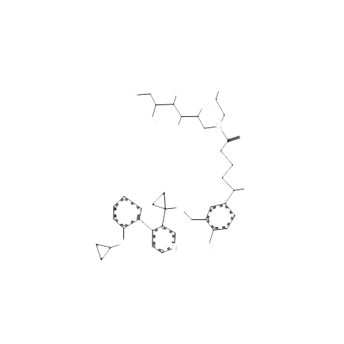 CC(CCCC(=O)N(CCO)CC(O)C(O)C(O)C(O)CO)c1ccc(Cl)c(COC2(c3cnccc3-c3ccccc3OC3CC3)CC2)c1